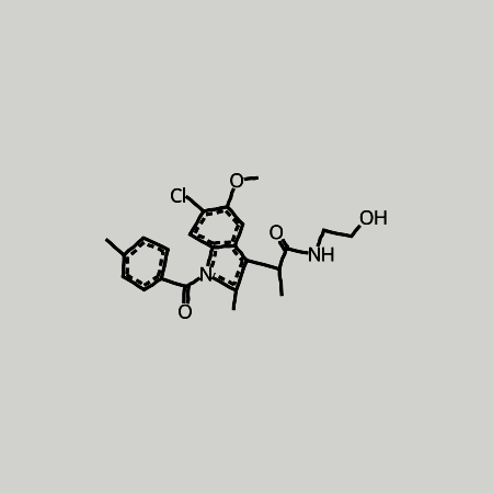 COc1cc2c(C(C)C(=O)NCCO)c(C)n(C(=O)c3ccc(C)cc3)c2cc1Cl